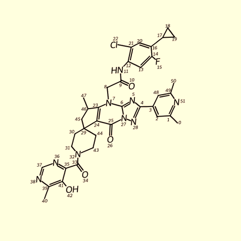 Cc1cc(-c2nc3n(CC(=O)Nc4cc(F)c(C5CC5)cc4Cl)c4c(c(=O)n3n2)C2(CCN(C(=O)c3ncnc(C)c3O)CC2)CC4C)cc(C)n1